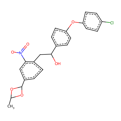 CC1OC(c2ccc(CC(O)c3ccc(Oc4ccc(Cl)cc4)cc3)c([N+](=O)[O-])c2)O1